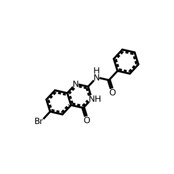 O=C(Nc1nc2ccc(Br)cc2c(=O)[nH]1)c1ccccc1